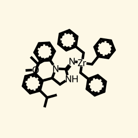 COc1ccccc1N1C(=[N][Zr]([CH2]c2ccccc2)([CH2]c2ccccc2)[CH2]c2ccccc2)NCC1c1c(C(C)C)cccc1C(C)C